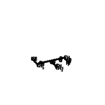 CC(CCC=C(C(F)(F)F)C(F)(F)F)CCOC(=O)CCCCCCCC(CCCCCCCC(=O)OCCC(C)CC/C=C(/CF)C(F)(F)F)OC(=O)CCCN(C)C